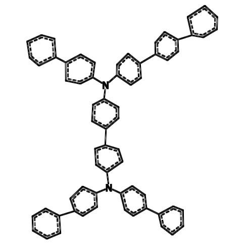 c1ccc(-c2ccc(-c3ccc(N(c4ccc(-c5ccccc5)cc4)c4ccc(-c5ccc(N(c6ccc(-c7ccccc7)cc6)c6ccc(-c7ccccc7)cc6)cc5)cc4)cc3)cc2)cc1